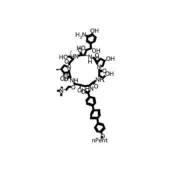 CCCCCOc1ccc(-c2ccc(-c3ccc(C(=O)N[C@H]4C[C@@H](O)[C@@H](OCC[N+](C)(C)C)NC(=O)[C@@H]5[C@@H](O)[C@@H](C)CN5C(=O)[C@H]([C@@H](C)O)NC(=O)[C@H]([C@H](O)[C@@H](O)c5ccc(O)c(N)c5)NC(=O)[C@@H]5C[C@@H](O)CN5C(=O)[C@H]([C@@H](C)O)NC4=O)cc3)cc2)cc1